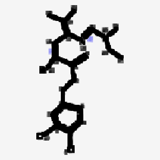 C=C(CCc1ccc(Cl)c(Cl)c1)/C(Br)=C\C(/N=C/N(C)CC)=C(C)C